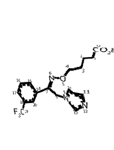 CCOC(=O)CCCCON=C(Cn1ccnc1)c1cccc(C(F)(F)F)c1